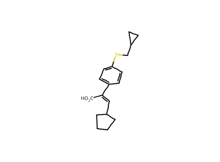 O=C(O)C(=CC1CCCC1)c1ccc(SCC2CC2)cc1